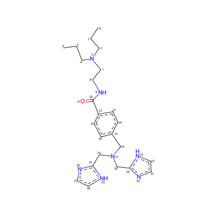 CCCN(CCC)CCNC(=O)c1ccc(CN(Cc2ncc[nH]2)Cc2ncc[nH]2)cc1